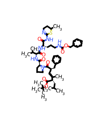 C/C(=C\[C@H](Cc1ccccc1)C(=O)N1CCC[C@H]1C(=O)N[C@H](C(=O)N[C@@H](CCCNC(=O)OCc1ccccc1)C(=O)NC1=NCCC(C)S1)C(C)C)[C@H](CC(C)C)C(=O)OC(C)(C)C